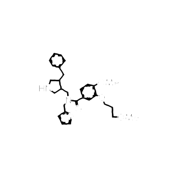 COCCCOc1cc(C(=O)N(Cc2cccs2)CC2CNCC2Cc2ccccc2)ccc1OC